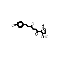 O=C[C@@H]1CSNC1C(=O)CCC(=O)CCc1ccc(Cl)cc1